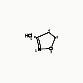 C1=NOCC1.Cl